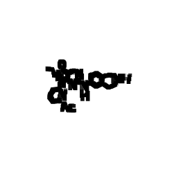 C=CCn1c(=O)c2cnc(Nc3ccc4c(c3)CCNC4)nc2n1-c1cccc(C(C)=O)n1